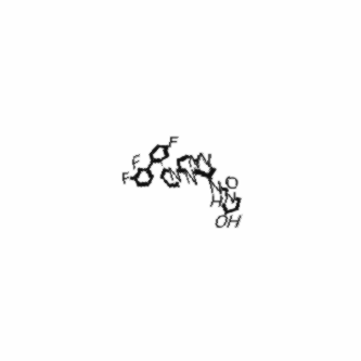 O=C(Nc1cnn2ccc(N3CCC[C@@H]3c3cc(F)ccc3-c3cccc(F)c3F)nc12)N1CC[C@@H](O)C1